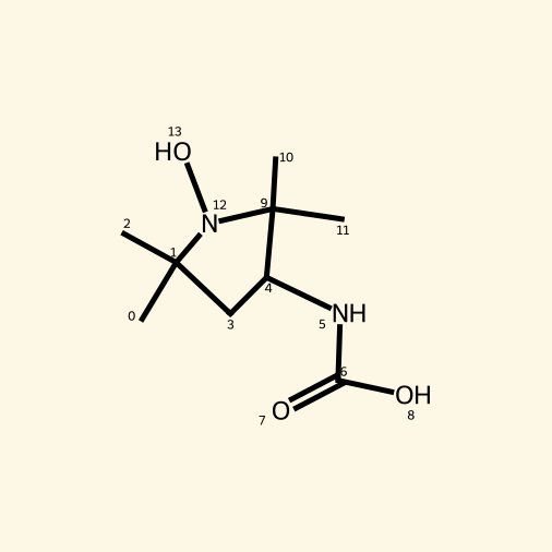 CC1(C)CC(NC(=O)O)C(C)(C)N1O